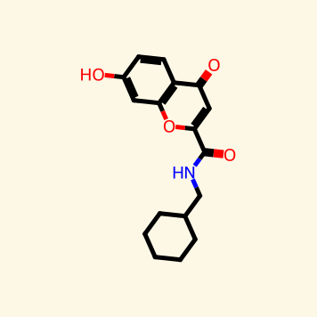 O=C(NCC1CCCCC1)c1cc(=O)c2ccc(O)cc2o1